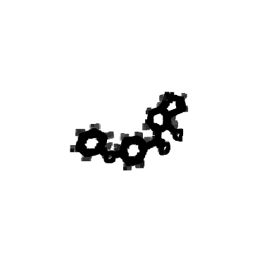 O=C(C1=NCC2=NC=CC2=C1Cl)c1ccc(Oc2ccccc2)cc1